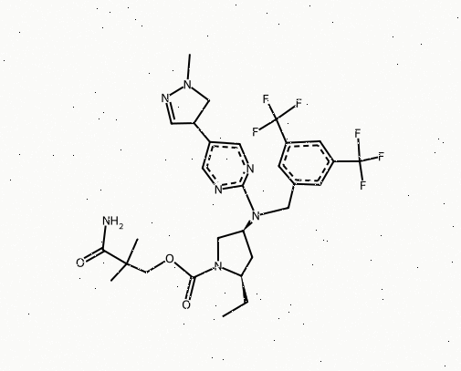 CC[C@@H]1C[C@H](N(Cc2cc(C(F)(F)F)cc(C(F)(F)F)c2)c2ncc(C3C=NN(C)C3)cn2)CN1C(=O)OCC(C)(C)C(N)=O